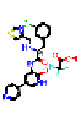 O=C(Nc1cc(-c2ccncc2)c[nH]c1=O)[C@H](Cc1cccc(Cl)c1)NCc1cscn1.O=C(O)C(F)(F)F